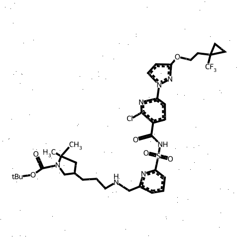 CC(C)(C)OC(=O)N1CC(CCCNCc2cccc(S(=O)(=O)NC(=O)c3ccc(-n4ccc(OCCC5(C(F)(F)F)CC5)n4)nc3Cl)n2)CC1(C)C